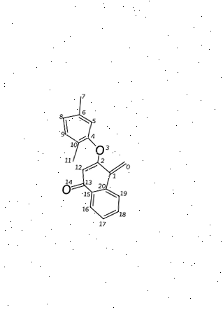 C=C1C(Oc2cc(C)ccc2C)=CC(=O)c2ccccc21